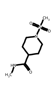 CNC(=O)C1CCN(S(C)(=O)=O)CC1